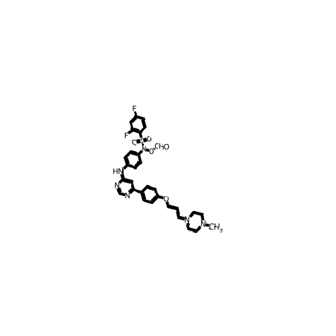 CN1CCN(CCCOc2ccc(-c3cc(Nc4ccc(N(OC=O)S(=O)(=O)c5ccc(F)cc5F)cc4)ncn3)cc2)CC1